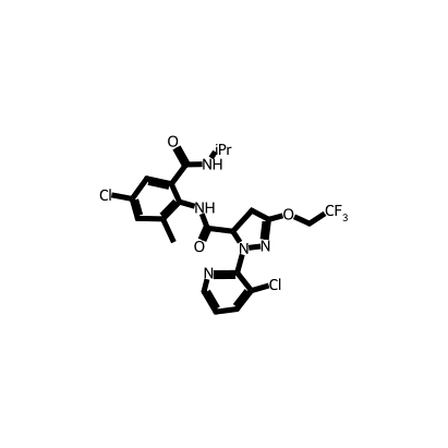 Cc1cc(Cl)cc(C(=O)NC(C)C)c1NC(=O)C1CC(OCC(F)(F)F)=NN1c1ncccc1Cl